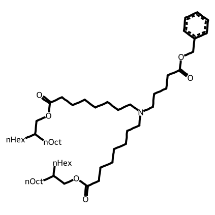 CCCCCCCCC(CCCCCC)COC(=O)CCCCCCCN(CCCCCCCC(=O)OCC(CCCCCC)CCCCCCCC)CCCCC(=O)OCc1ccccc1